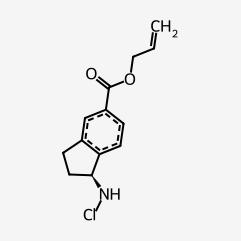 C=CCOC(=O)c1ccc2c(c1)CC[C@@H]2NCl